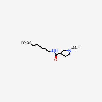 CCCCCCCCCCCCCCNC(=O)C1CCN(C(=O)O)C1